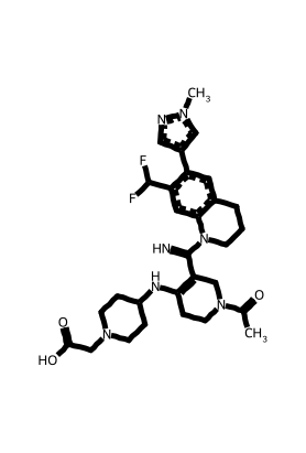 CC(=O)N1CCC(NC2CCN(CC(=O)O)CC2)=C(C(=N)N2CCCc3cc(-c4cnn(C)c4)c(C(F)F)cc32)C1